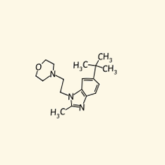 Cc1nc2ccc(C(C)(C)C)cc2n1CCN1CCOCC1